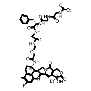 CCC(=O)NCC(=O)NCC(=O)N[C@@H](Cc1ccccc1)C(=O)NCC(=O)NCOCC(=O)N[C@H]1CCc2c(C)c(F)cc3nc4c(c1c23)Cn1c-4cc2c(c1=O)COC(=O)[C@]2(O)CC